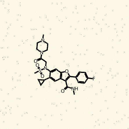 CNC(=O)c1c(-c2ccc(F)cc2)oc2cc(N(CC(=O)N3CCN(C)CC3)S(C)(=O)=O)c(C3CC3)cc12